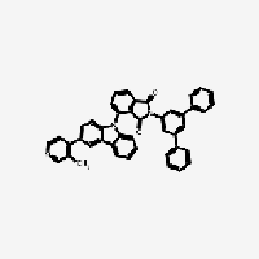 Cc1cnccc1-c1ccc2c(c1)c1ccccc1n2-c1cccc2c1C(=O)N(c1cc(-c3ccccc3)cc(-c3ccccc3)c1)C2=O